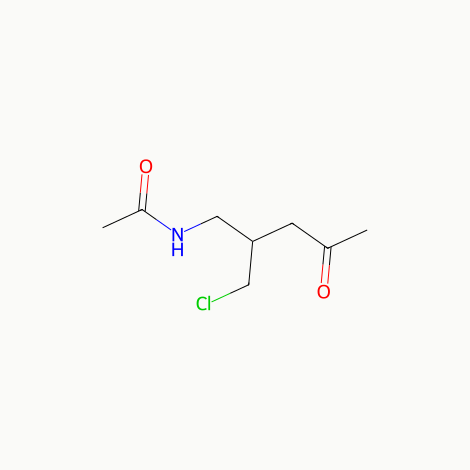 CC(=O)CC(CCl)CNC(C)=O